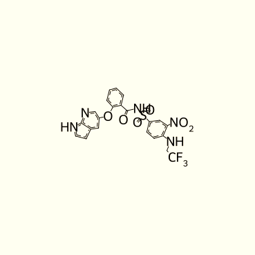 O=C(NS(=O)(=O)c1ccc(NCC(F)(F)F)c([N+](=O)[O-])c1)c1ccccc1Oc1cnc2[nH]ccc2c1